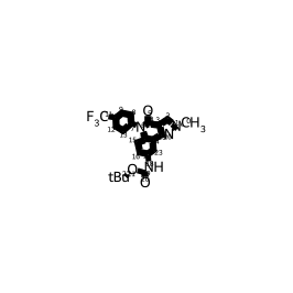 Cn1cc2c(=O)n(-c3ccc(C(F)(F)F)cc3)c3ccc(NC(=O)OC(C)(C)C)cc3c2n1